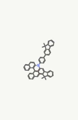 CC1(C)c2ccccc2-c2cc(N(c3ccc(-c4ccc5c(c4)C(C)(C)c4ccccc4-5)cc3)c3ccc4ccccc4c3-c3cccc4ccccc34)ccc21